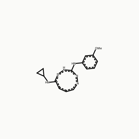 COc1cccc(Nc2nncccc(NC3CC3)n[nH]2)c1